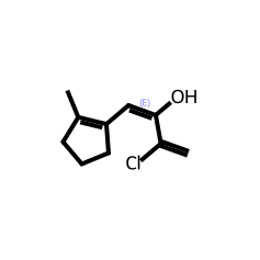 C=C(Cl)/C(O)=C\C1=C(C)CCC1